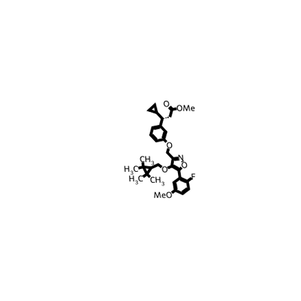 COC(=O)C[C@H](c1cccc(OCc2noc(-c3cc(OC)ccc3F)c2OCC2C(C)(C)C2(C)C)c1)C1CC1